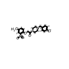 Cc1ccc(OCC(=O)N2CCN(Cc3ccc(Cl)cc3)CC2)c([N+](=O)[O-])c1